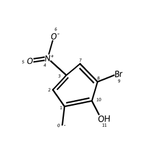 [CH2]c1cc([N+](=O)[O-])cc(Br)c1O